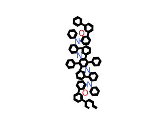 C=C/C=C\C(=C/C)c1cccc2c1oc1c(N(c3ccccc3)c3cccc4c3c3cccc5c6c(-c7ccccc7)c7c(c(-c8ccccc8)c6n4c35)c3cccc4c5c(N(c6ccccc6)c6cccc8c6oc6c(-c9ccccc9)cccc68)cccc5n7c43)cccc12